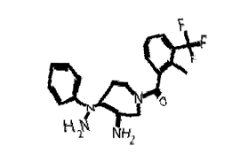 Cc1c(C(=O)N2CCC(N(N)c3ccccc3)=C(N)C2)cccc1C(F)(F)F